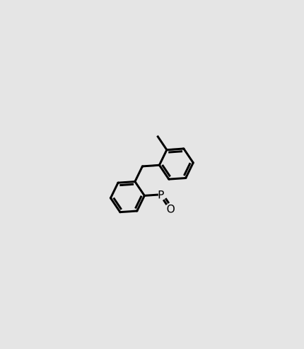 Cc1ccccc1Cc1ccccc1P=O